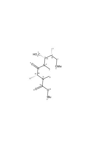 COC[C@@H](C)[C@@H](C(=O)O)N(C)C(=O)[C@@H](C)N(C)C(=O)OC(C)(C)C